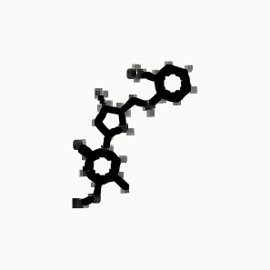 CCOc1nc(=O)n(C2C[C@H](F)[C@@H](C[Se]c3ccccc3[N+](=O)[O-])O2)cc1C